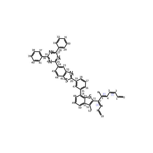 C=C\C=C/C=C(C)/C(=C/C=C)c1sc2c(-c3cccc(-c4nc5cc(-c6nc(-c7ccccc7)nc(-c7ccccc7)n6)ccc5s4)c3)cccc2c1C